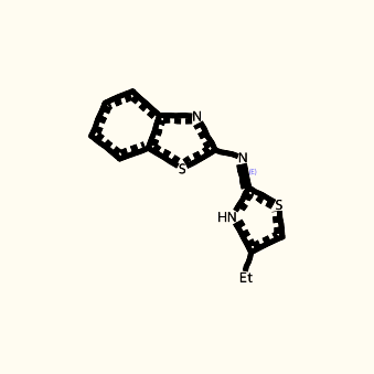 CCc1cs/c(=N/c2nc3ccccc3s2)[nH]1